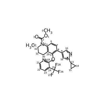 COC(=O)N1c2ccc(-c3cnn(C4CC4)c3)c(Oc3ncccc3C(F)(F)F)c2CC[C@@H]1C